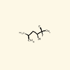 CC(C)CC(O)C(C)(F)F